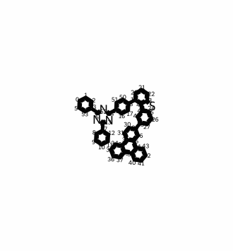 c1ccc(-c2nc(-c3ccccc3)nc(-c3ccc(-c4cccc5sc6ccc(-c7ccc8c9ccccc9c9ccccc9c8c7)cc6c45)cc3)n2)cc1